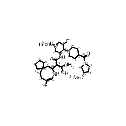 CCCCCN1CC(F)C(N2CCC(C(=O)N3CC[C@H](OC)C3)CC2)C(NC(=O)C(C(N)N)C2CC3(CCCC3)CC/C(F)=C\N2)C1